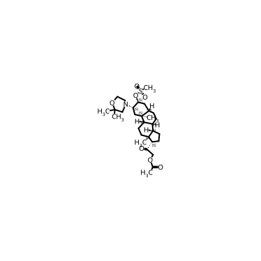 CC(=O)OCC(=O)[C@H]1CC[C@H]2[C@@H]3CC[C@H]4C[C@H](OS(C)(=O)=O)[C@@H](N5CCOC(C)(C)C5)C[C@]4(C)[C@H]3CC[C@]12C